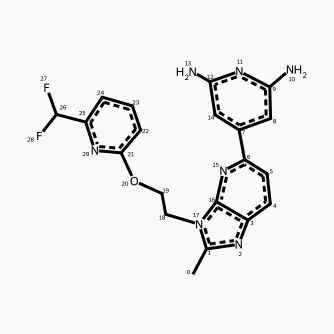 Cc1nc2ccc(-c3cc(N)nc(N)c3)nc2n1CCOc1cccc(C(F)F)n1